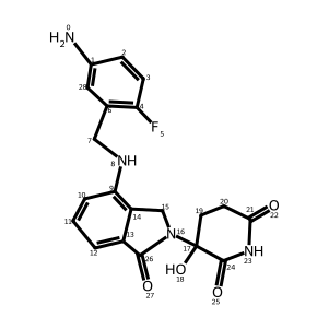 Nc1ccc(F)c(CNc2cccc3c2CN(C2(O)CCC(=O)NC2=O)C3=O)c1